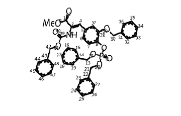 COC(=O)/C(=C/c1ccc(OP(=O)(OCc2ccccc2)OCc2ccccc2)c(OCc2ccccc2)c1)NC(=O)OCc1ccccc1